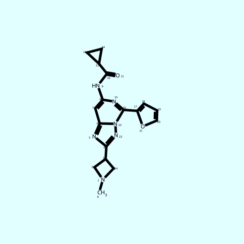 CN1CC(c2nc3cc(NC(=O)C4CC4)nc(-c4ccco4)n3n2)C1